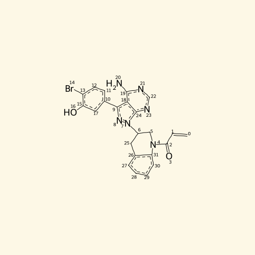 C=CC(=O)N1CC(n2nc(-c3ccc(Br)c(O)c3)c3c(N)ncnc32)Cc2ccccc21